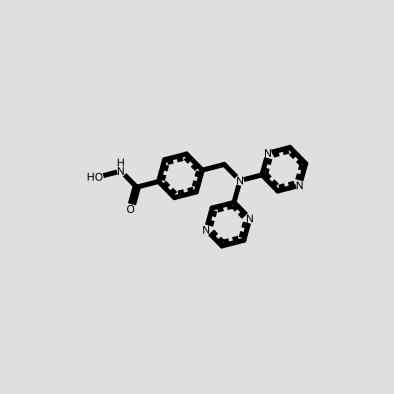 O=C(NO)c1ccc(CN(c2cnccn2)c2cnccn2)cc1